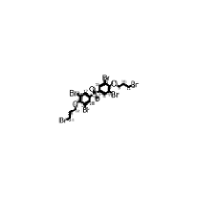 O=S(=O)(c1cc(Br)c(OCCCBr)c(Br)c1)c1cc(Br)c(OCCCBr)c(Br)c1